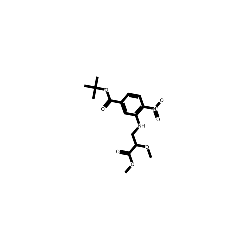 COC(=O)C(CNc1cc(C(=O)OC(C)(C)C)ccc1[N+](=O)[O-])OC